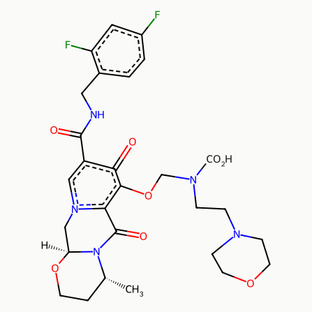 C[C@@H]1CCO[C@H]2Cn3cc(C(=O)NCc4ccc(F)cc4F)c(=O)c(OCN(CCN4CCOCC4)C(=O)O)c3C(=O)N12